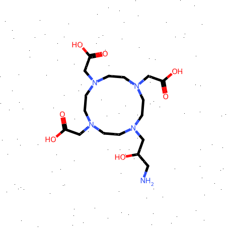 NCC(O)CN1CCN(CC(=O)O)CCN(CC(=O)O)CCN(CC(=O)O)CC1